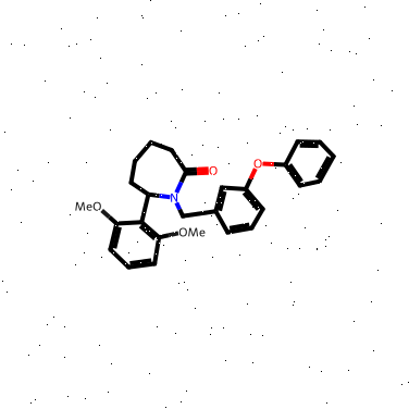 COc1cccc(OC)c1C1CCCCC(=O)N1Cc1cccc(Oc2ccccc2)c1